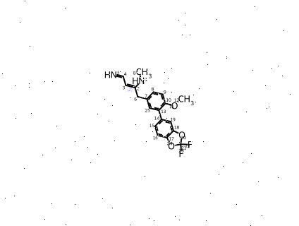 CN/C(=C\C=N)Cc1ccc(OC)c(-c2ccc3c(c2)OC(F)(F)O3)c1